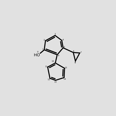 Oc1cccc(C2CC2)c1-c1ccccc1